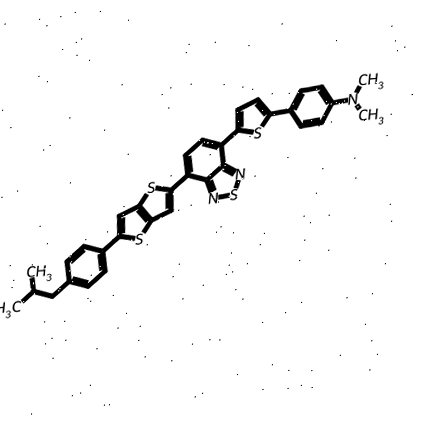 CC(C)Cc1ccc(-c2cc3sc(-c4ccc(-c5ccc(-c6ccc(N(C)C)cc6)s5)c5nsnc45)cc3s2)cc1